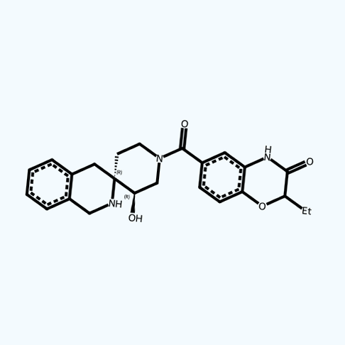 CCC1Oc2ccc(C(=O)N3CC[C@]4(Cc5ccccc5CN4)[C@H](O)C3)cc2NC1=O